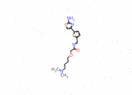 CN(C)CCCCOCC(=O)N=Cc1ccc(-c2csc(N)n2)s1